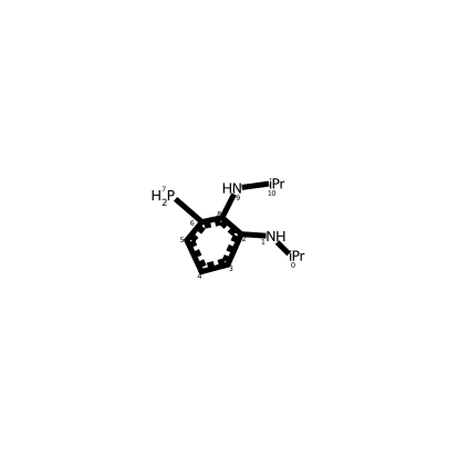 CC(C)Nc1cccc(P)c1NC(C)C